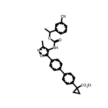 CCOC(=O)C1(c2ccc(-c3ccc(-c4onc(C)c4NC(=O)OC(C)c4cccc(C#N)c4)cc3)cc2)CC1